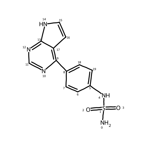 NS(=O)(=O)Nc1ccc(-c2ncnc3[nH]ccc23)cc1